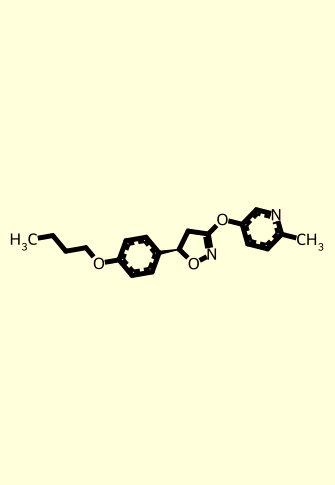 CCCCOc1ccc([C@H]2CC(Oc3ccc(C)nc3)=NO2)cc1